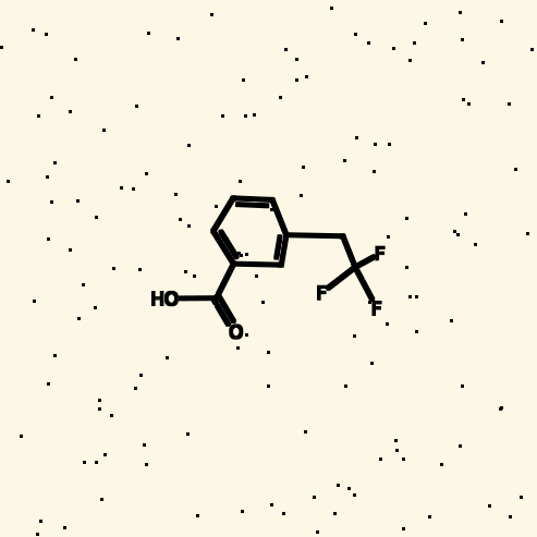 O=C(O)c1cccc(CC(F)(F)F)c1